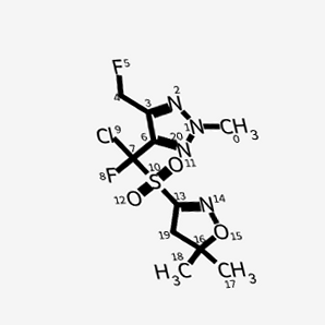 Cn1nc(CF)c(C(F)(Cl)S(=O)(=O)C2=NOC(C)(C)C2)n1